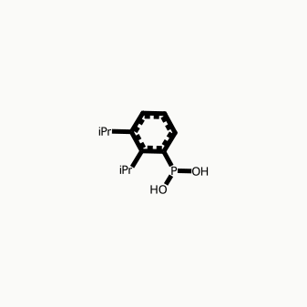 CC(C)c1cccc(P(O)O)c1C(C)C